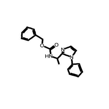 CC(NC(=O)OCc1ccccc1)c1nccn1-c1ccccc1